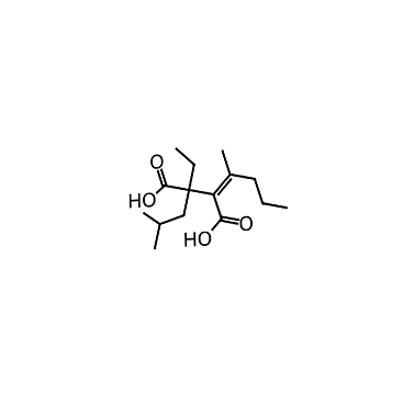 CCCC(C)=C(C(=O)O)C(CC)(CC(C)C)C(=O)O